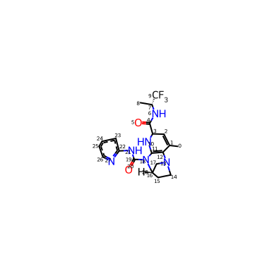 CC1=CC(C(=O)N[C@H](C)C(F)(F)F)NC2=C1N1CC[C@@H](C1)N2C(=O)Nc1ccccn1